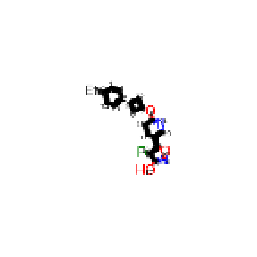 CCc1ccc([C@H]2C[C@@H](Oc3ccc(-c4onc(O)c4F)cn3)C2)cc1